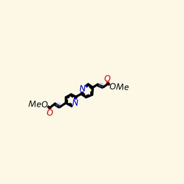 COC(=O)/C=C/c1ccc(-c2ccc(/C=C/C(=O)OC)cn2)nc1